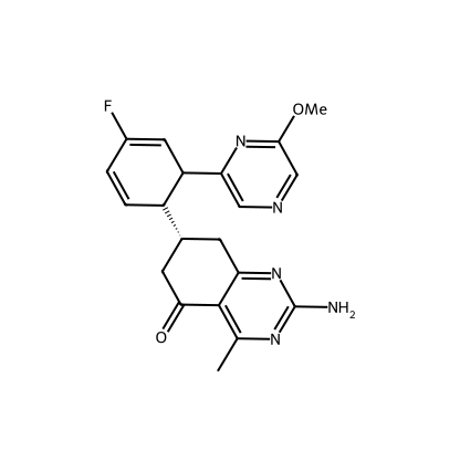 COc1cncc(C2C=C(F)C=CC2[C@H]2CC(=O)c3c(C)nc(N)nc3C2)n1